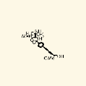 COC(=O)[C@@H](NC(=O)c1ccc(C#CC#CC(CO)OC)cc1)C(C)(C)N